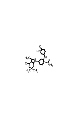 Cc1nn(-c2ccc(C(N)=O)c(Nc3ccc(=O)[nH]c3)c2)c2c1C(=O)CC(C)(C)C2